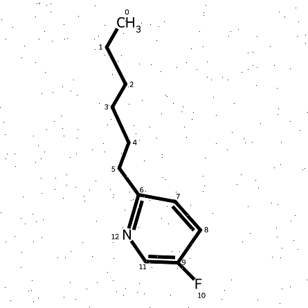 CCCCCCc1ccc(F)cn1